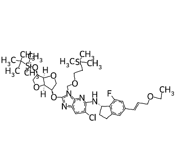 CCOC/C=C/c1cc(F)c2c(c1)CC[C@@H]2Nc1nc2c(cc1Cl)nc(O[C@@H]1CO[C@H]3[C@@H]1OC[C@H]3O[Si](C)(C)C(C)(C)C)n2COCC[Si](C)(C)C